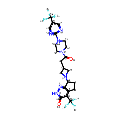 O=C(CC1CN(C2CCc3c2n[nH]c(=O)c3C(F)(F)F)C1)N1CCN(c2ncc(C(F)(F)F)cn2)CC1